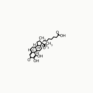 CC(=O)[C@@]1(CCCCCCC(=O)O)[C@@H](C)C[C@H]2[C@@H]3CCC4=CC(=O)C(O)=C(O)[C@]4(C)[C@H]3CC[C@@]21C